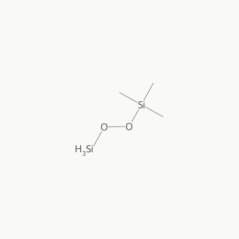 C[Si](C)(C)OO[SiH3]